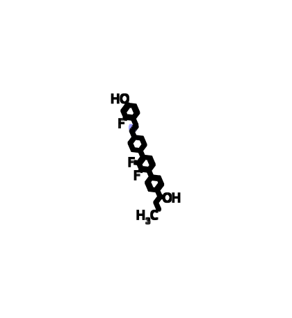 CCCC(O)c1ccc(-c2ccc(C3CCC(/C=C/c4ccc(O)cc4F)CC3)c(F)c2F)cc1